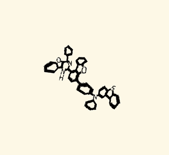 C1=CC2OC3=C(NC(c4ccc(-c5ccc(N(c6ccccc6)c6ccc7c(c6)C6C=CC=CC6S7)cc5)c5oc6ccccc6c45)N=C3c3ccccc3)C2C=C1